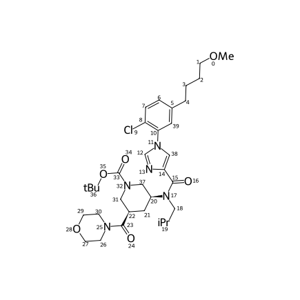 COCCCCc1ccc(Cl)c(-n2cnc(C(=O)N(CC(C)C)[C@H]3C[C@@H](C(=O)N4CCOCC4)CN(C(=O)OC(C)(C)C)C3)c2)c1